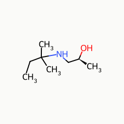 CCC(C)(C)NC[C@H](C)O